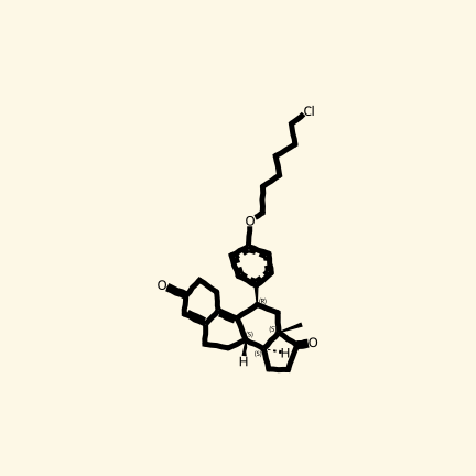 C[C@]12C[C@H](c3ccc(OCCCCCCCl)cc3)C3=C4CCC(=O)C=C4CC[C@H]3[C@@H]1CCC2=O